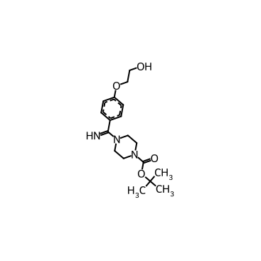 CC(C)(C)OC(=O)N1CCN(C(=N)c2ccc(OCCO)cc2)CC1